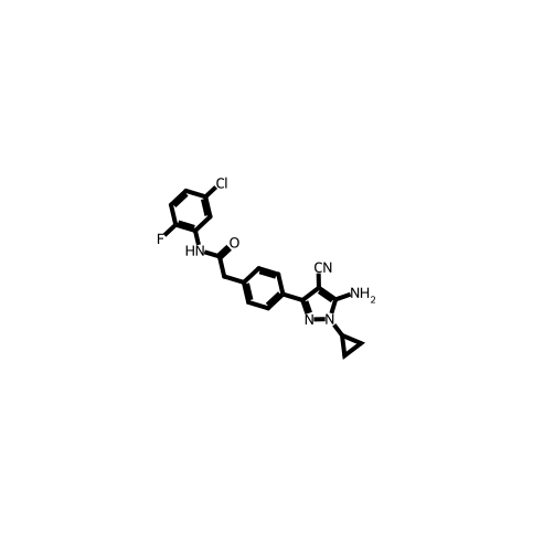 N#Cc1c(-c2ccc(CC(=O)Nc3cc(Cl)ccc3F)cc2)nn(C2CC2)c1N